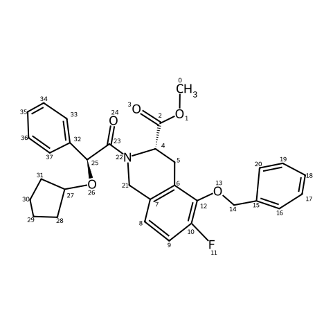 COC(=O)[C@@H]1Cc2c(ccc(F)c2OCc2ccccc2)CN1C(=O)[C@@H](OC1CCCC1)c1ccccc1